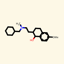 COc1ccc2c(c1)CCC(CCN(C)CC1CCCCC1)C2O